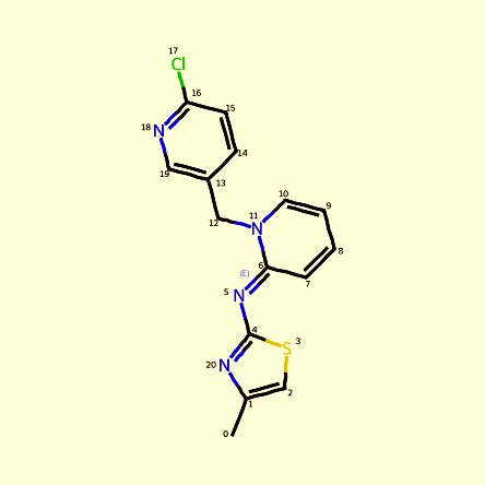 Cc1csc(/N=c2\ccccn2Cc2ccc(Cl)nc2)n1